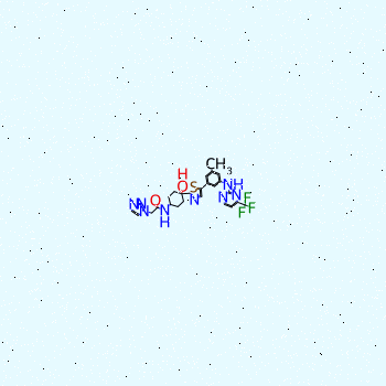 Cc1cc(Nc2nccc(C(F)(F)F)n2)cc(-c2cnc([C@]3(O)CC[C@@H](NC(=O)Cn4ccnn4)CC3)s2)c1